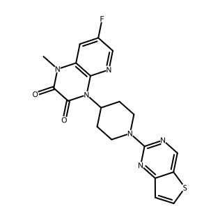 Cn1c(=O)c(=O)n(C2CCN(c3ncc4sccc4n3)CC2)c2ncc(F)cc21